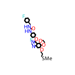 CSCCCOc1cc2ncnc(Oc3ccc(NC(=O)NCc4ccc(F)cc4)cc3F)c2c2c1OCCO2